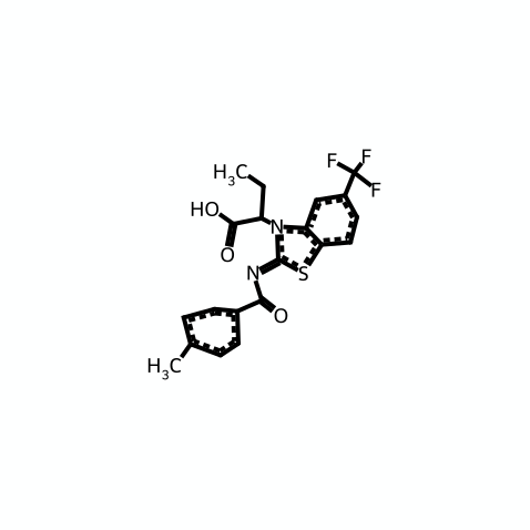 CCC(C(=O)O)n1c(=NC(=O)c2ccc(C)cc2)sc2ccc(C(F)(F)F)cc21